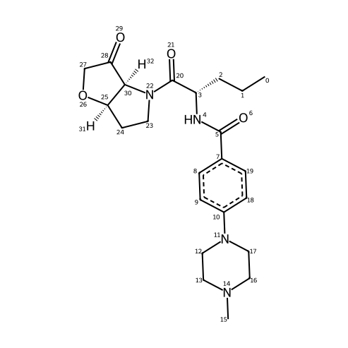 CCC[C@H](NC(=O)c1ccc(N2CCN(C)CC2)cc1)C(=O)N1CC[C@H]2OCC(=O)[C@H]21